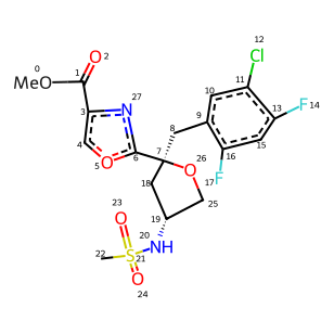 COC(=O)c1coc([C@]2(Cc3cc(Cl)c(F)cc3F)C[C@@H](NS(C)(=O)=O)CO2)n1